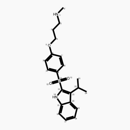 CNCCCOc1ccc(S(=O)(=O)c2[nH]c3ccccc3c2C(C)C)cc1